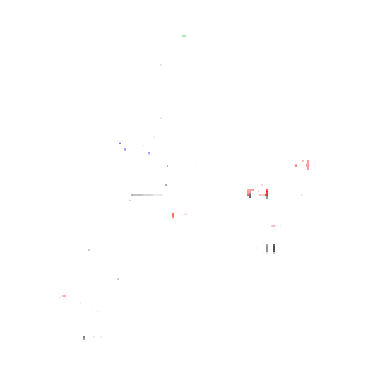 CC(C)(CCOc1c(-c2ccc(S(C)(=O)=O)cc2)cnn(-c2ccc(F)c(F)c2)c1=O)OP(=O)(O)O